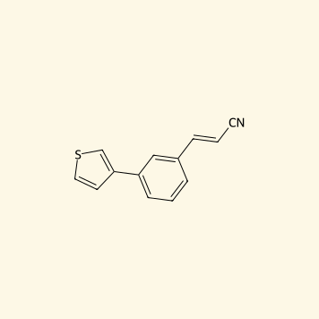 N#C/C=C/c1cccc(-c2ccsc2)c1